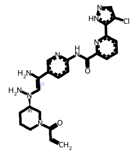 C=CC(=O)N1CCC[C@@H](N(N)/C=C(\N)c2ccc(NC(=O)c3cccc(-c4[nH]ncc4Cl)n3)nc2)C1